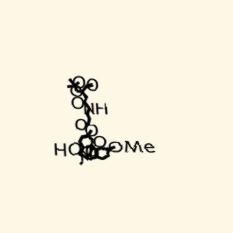 COc1ccc2c3c1OC1C(OC(=O)CCNC(=O)CC4OC(C)(C)OC4=O)=CCC4(O)C(C2)N(C)CCC314